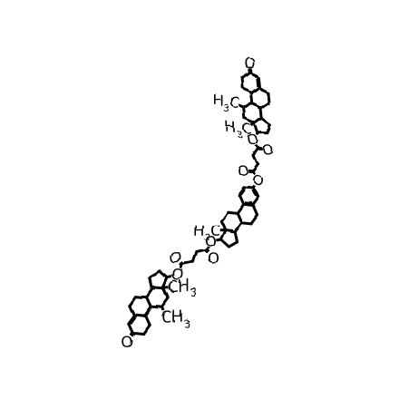 CC1CC2(C)C(OC(=O)CCC(=O)Oc3ccc4c(c3)CCC3C4CCC4(C)C(OC(=O)CCC(=O)OC5CCC6C7CCC8=CC(=O)CCC8C7C(C)CC56C)CCC34)CCC2C2CCC3=CC(=O)CCC3C12